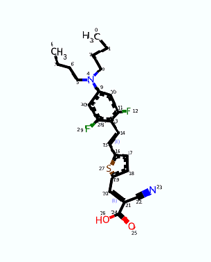 CCCCN(CCCC)c1cc(F)c(/C=C/c2ccc(/C=C(\C#N)C(=O)O)s2)c(F)c1